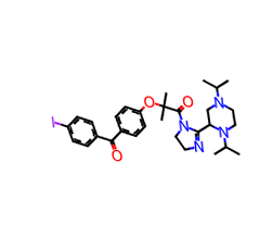 CC(C)N1CCN(C(C)C)C(C2=NCCN2C(=O)C(C)(C)Oc2ccc(C(=O)c3ccc(I)cc3)cc2)C1